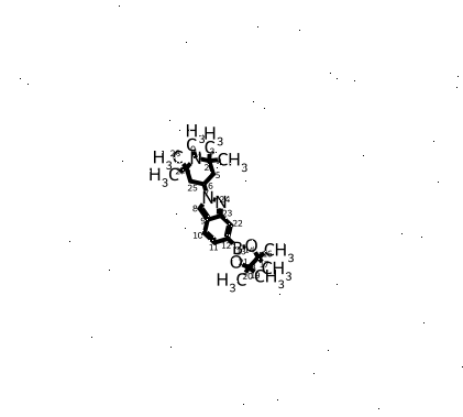 CN1C(C)(C)CC(n2cc3ccc(B4OC(C)(C)C(C)(C)O4)cc3n2)CC1(C)C